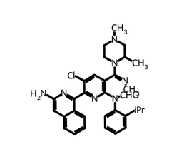 C/N=C(\c1cc(Cl)c(-c2nc(N)cc3ccccc23)nc1N(C=O)c1ccccc1C(C)C)N1CCN(C)CC1C